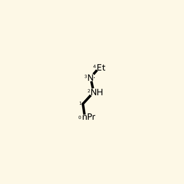 CCCCN[N]CC